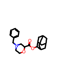 O=C(OC1C2CC3CC(C2)CC1C3)C1CN(Cc2ccccc2)CCO1